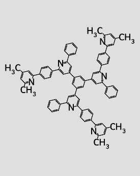 Cc1cc(C)nc(-c2ccc(-c3cc(-c4cc(-c5cc(-c6ccccc6)nc(-c6ccc(-c7cc(C)cc(C)n7)cc6)c5)cc(-c5cc(-c6ccccc6)nc(-c6ccc(-c7cc(C)cc(C)n7)cc6)c5)c4)cc(-c4ccccc4)n3)cc2)c1